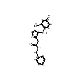 O=C(Cc1sccc1Nc1ccc(Cl)cc1Cl)OCc1ccccc1